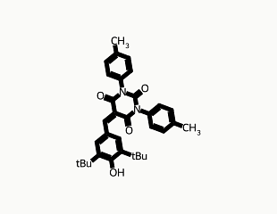 Cc1ccc(N2C(=O)C(=Cc3cc(C(C)(C)C)c(O)c(C(C)(C)C)c3)C(=O)N(c3ccc(C)cc3)C2=O)cc1